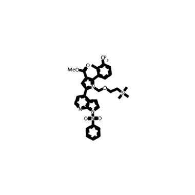 COC(=O)c1cc(-c2ccnc3c2ccn3S(=O)(=O)c2ccccc2)n(COCC[Si](C)(C)C)c1-c1cccc(C(F)(F)F)c1C